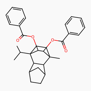 CC(C)C12CCC(C)(C(OC(=O)c3ccccc3)C1OC(=O)c1ccccc1)C1C3CCC(C3)C12